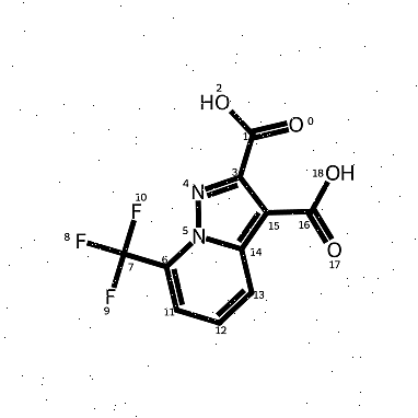 O=C(O)c1nn2c(C(F)(F)F)cccc2c1C(=O)O